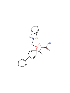 CC(N(O)C(N)=O)C1(OCc2nc3ccccc3s2)C=CC(c2ccccc2)C=C1